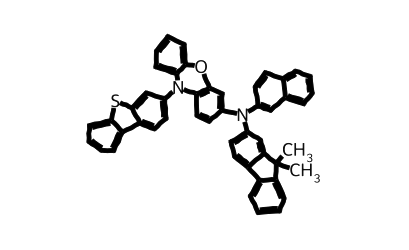 CC1(C)c2ccccc2-c2ccc(N(c3ccc4c(c3)Oc3ccccc3N4c3ccc4c(c3)sc3ccccc34)c3ccc4ccccc4c3)cc21